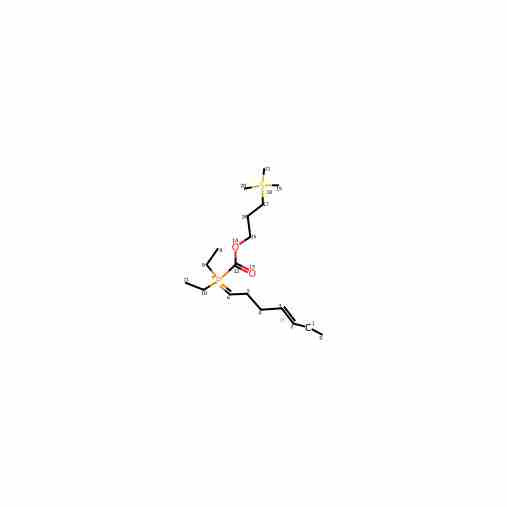 CC/C=C/CCC=P(CC)(CC)C(=O)OCCCS(C)(C)C